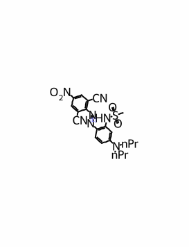 CCCN(CCC)c1ccc(/N=N/c2c(C#N)cc([N+](=O)[O-])cc2C#N)c(NS(C)(=O)=O)c1